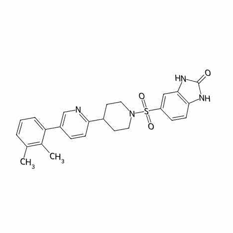 Cc1cccc(-c2ccc(C3CCN(S(=O)(=O)c4ccc5[nH]c(=O)[nH]c5c4)CC3)nc2)c1C